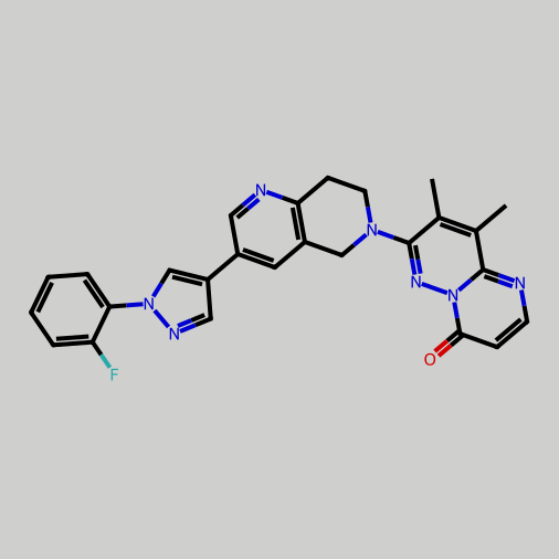 Cc1c(N2CCc3ncc(-c4cnn(-c5ccccc5F)c4)cc3C2)nn2c(=O)ccnc2c1C